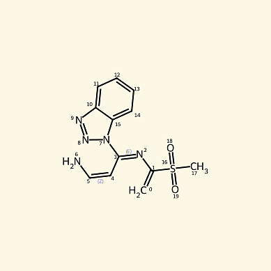 C=C(/N=C(\C=C/N)n1nnc2ccccc21)S(C)(=O)=O